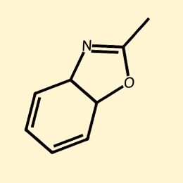 CC1=NC2C=CC=CC2O1